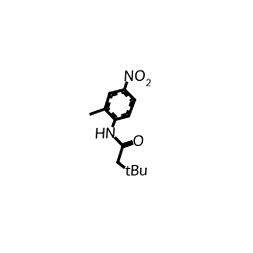 Cc1cc([N+](=O)[O-])ccc1NC(=O)CC(C)(C)C